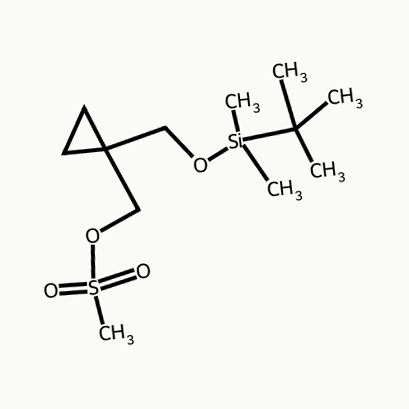 CC(C)(C)[Si](C)(C)OCC1(COS(C)(=O)=O)CC1